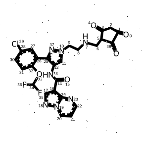 O=C1CC(=O)C(CNCCn2cc(NC(=O)c3cnn4cccnc34)c(-c3cc(Cl)ccc3OC(F)F)n2)C1=O